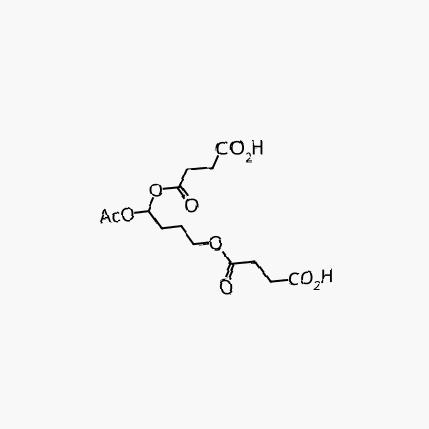 CC(=O)OC(CCCOC(=O)CCC(=O)O)OC(=O)CCC(=O)O